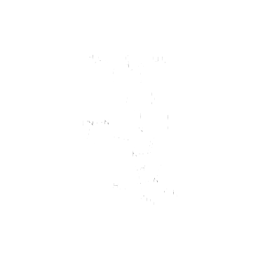 COc1cc2c(cc1CC(C)C)-n1c(-c3cc[nH]n3)nc(CN(C)C(C)(C)C)c1CC2